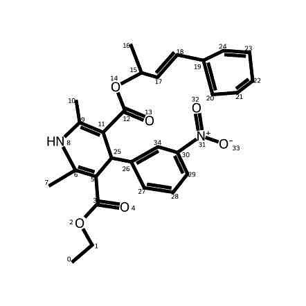 CCOC(=O)C1=C(C)NC(C)=C(C(=O)OC(C)C=Cc2ccccc2)C1c1cccc([N+](=O)[O-])c1